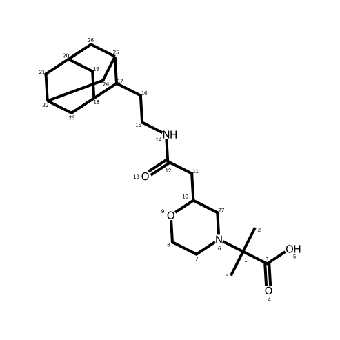 CC(C)(C(=O)O)N1CCOC(CC(=O)NCCC2C3CC4CC(C3)CC2C4)C1